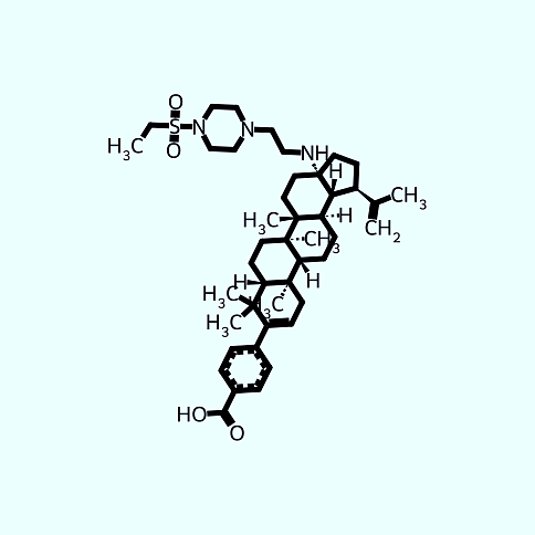 C=C(C)[C@@H]1CC[C@]2(NCCN3CCN(S(=O)(=O)CC)CC3)CC[C@]3(C)[C@H](CC[C@@H]4[C@@]5(C)CC=C(c6ccc(C(=O)O)cc6)C(C)(C)[C@@H]5CC[C@]43C)[C@@H]12